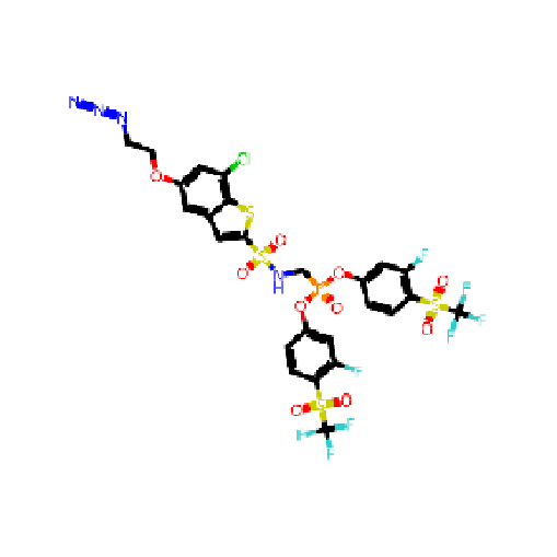 [N-]=[N+]=NCCOc1cc(Cl)c2sc(S(=O)(=O)NCP(=O)(Oc3ccc(S(=O)(=O)C(F)(F)F)c(F)c3)Oc3ccc(S(=O)(=O)C(F)(F)F)c(F)c3)cc2c1